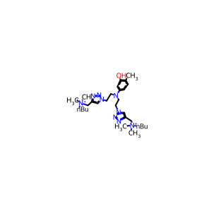 CCCC[N+](C)(C)Cc1cn(CCN(CCn2cc(C[N+](C)(C)CCCC)nn2)c2ccc(C)c(O)c2)nn1